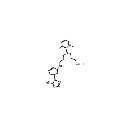 Cc1cccc(C)c1N(CCCNc1cccc(-n2nnnc2S)c1)CCCC(=O)O